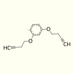 C#CCCOc1[c]ccc(OCCC#C)c1